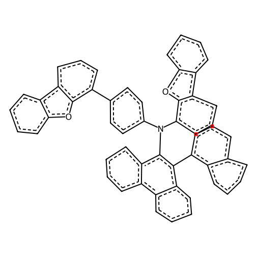 c1ccc2c(-c3c(N(c4ccc(-c5cccc6c5oc5ccccc56)cc4)c4cccc5c4oc4ccccc45)c4ccccc4c4ccccc34)cccc2c1